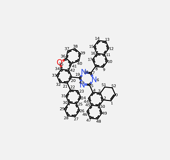 C1=Cc2c(c(-c3nc(-c4ccc5ccccc5c4)nc(-c4c(-c5ccc6ccccc6c5)ccc5oc6ccccc6c45)n3)cc3ccccc23)CC1